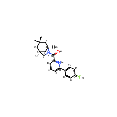 CC1(C)C[C@@H]2C[C@@](C)(CN2C(=O)c2cccc(-c3ccc(F)cc3)n2)C1